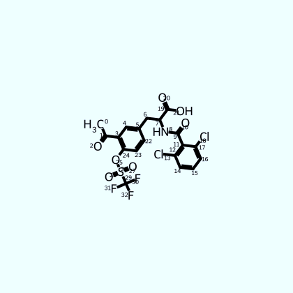 CC(=O)c1cc(CC(NC(=O)c2c(Cl)cccc2Cl)C(=O)O)ccc1OS(=O)(=O)C(F)(F)F